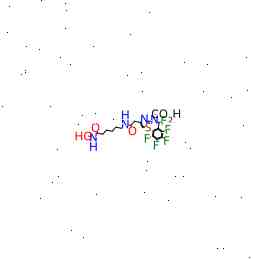 O=C(CCCCCNC(=O)Cc1csc(N(C(=O)O)C(F)c2cc(F)c(F)c(F)c2F)n1)NO